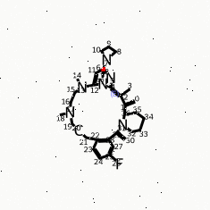 C=C1/C(C)=C2/N=C(N3CCC3)C=C(N(C)CCN(C)CCCc3ccc(F)cc3C(=C)N3CCCCC13)N2C